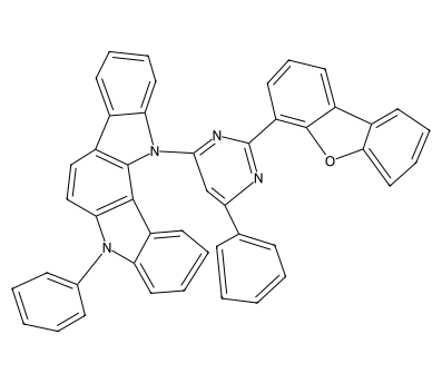 c1ccc(-c2cc(-n3c4ccccc4c4ccc5c(c6ccccc6n5-c5ccccc5)c43)nc(-c3cccc4c3oc3ccccc34)n2)cc1